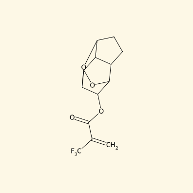 C=C(C(=O)OC1C2OC3C1OC1CCC2C13)C(F)(F)F